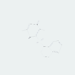 CCOC(=O)C1=CC(=O)C(C(=O)OCC)=C(S(=O)(=O)C2CCCc3ccccc32)C1=O